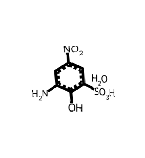 Nc1cc([N+](=O)[O-])cc(S(=O)(=O)O)c1O.O